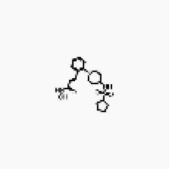 O=C(C=Cc1ccccc1N1CCC(NS(=O)(=O)C2CCCC2)CC1)NO